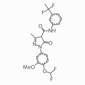 COc1cc(N2N=C(C)C(C(=O)Nc3cccc(C(C)(F)F)c3)C2=O)ccc1OC(F)F